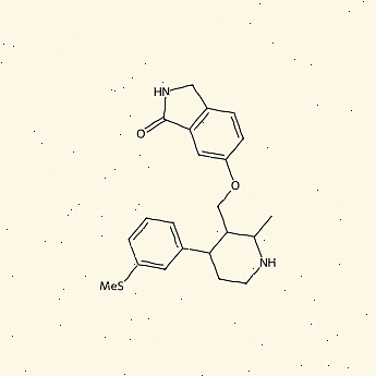 CSc1cccc(C2CCNC(C)C2COc2ccc3c(c2)C(=O)NC3)c1